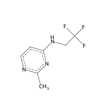 Cc1nccc(NCC(F)(F)F)n1